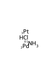 Cl.N.[Pd].[Pt]